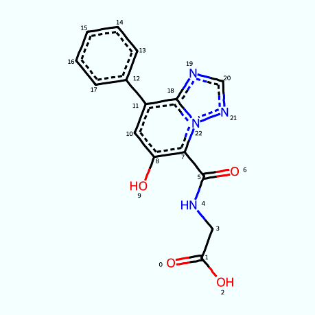 O=C(O)CNC(=O)c1c(O)cc(-c2ccccc2)c2ncnn12